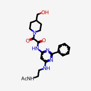 CC(=O)NCCNc1cc(NC(=O)C(=O)N2CCC(CO)CC2)nc(-c2ccccc2)n1